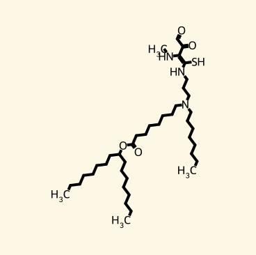 CCCCCCCCC(CCCCCCCC)OC(=O)CCCCCCCN(CCCCCCCC)CCCN/C(S)=C(\NC)C(=O)C=O